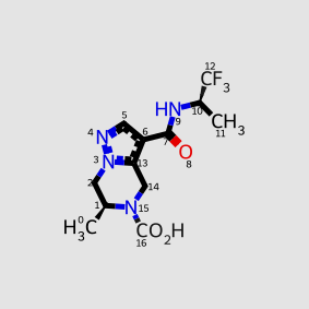 C[C@H]1Cn2ncc(C(=O)N[C@H](C)C(F)(F)F)c2CN1C(=O)O